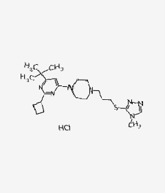 Cl.Cn1cnnc1SCCCN1CCN(c2cc(C(C)(C)C)nc(C3CCC3)n2)CC1